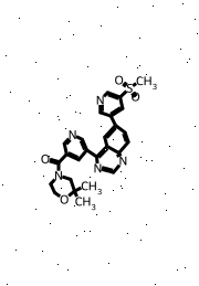 CC1(C)CN(C(=O)c2cncc(-c3ncnc4ccc(-c5cncc(S(C)(=O)=O)c5)cc34)c2)CCO1